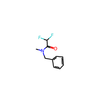 CN(Cc1ccccc1)C(=O)C(F)F